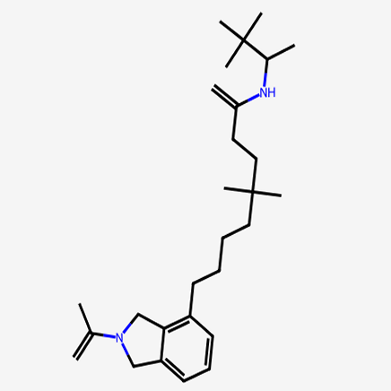 C=C(CCC(C)(C)CCCCc1cccc2c1CN(C(=C)C)C2)NC(C)C(C)(C)C